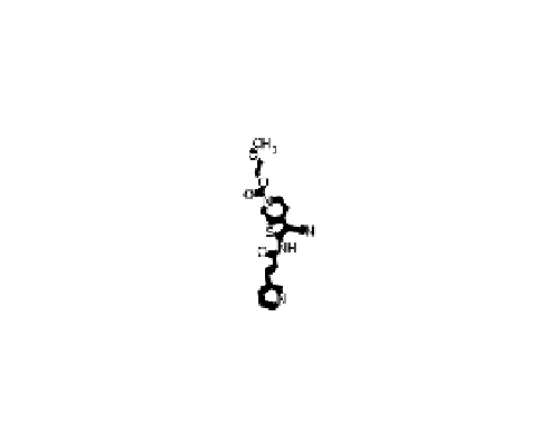 COCCOC(=O)N1CCc2c(sc(NC(=O)C=Cc3cccnc3)c2C#N)C1